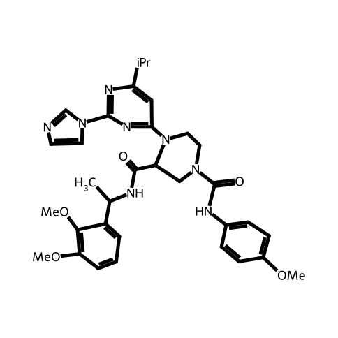 COc1ccc(NC(=O)N2CCN(c3cc(C(C)C)nc(-n4ccnc4)n3)C(C(=O)NC(C)c3cccc(OC)c3OC)C2)cc1